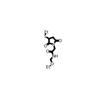 CCOCNC(=O)CN1C(=O)CC(SCC)C1=O